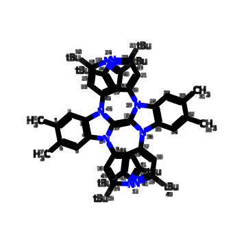 Cc1cc2c(cc1C)N(c1cc(C(C)(C)C)nc(C(C)(C)C)c1)C(=C1N(c3cc(C(C)(C)C)nc(C(C)(C)C)c3)c3cc(C)c(C)cc3N1c1cc(C(C)(C)C)nc(C(C)(C)C)c1)N2c1cc(C(C)(C)C)nc(C(C)(C)C)c1